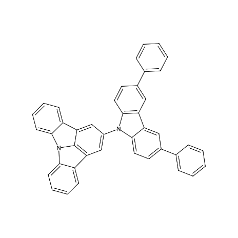 c1ccc(-c2ccc3c(c2)c2cc(-c4ccccc4)ccc2n3-c2cc3c4ccccc4n4c5ccccc5c(c2)c34)cc1